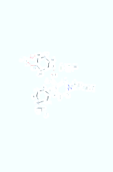 CCCCCN1CC[C@H](c2cccc(C(F)(F)F)c2)[C@@H](COc2ccc3c(c2)OCO3)C1.Cl